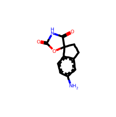 Nc1ccc2c(c1)CCC21OC(=O)NC1=O